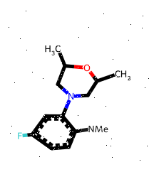 CNc1ccc(F)cc1N1CC(C)OC(C)C1